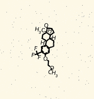 COCCOc1cc2c(cc1C(F)(F)F)[C@H]1CC[C@]3(C)C(=O)CC[C@H]3[C@@H]1CC2